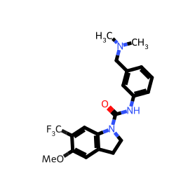 COc1cc2c(cc1C(F)(F)F)N(C(=O)Nc1cccc(CN(C)C)c1)CC2